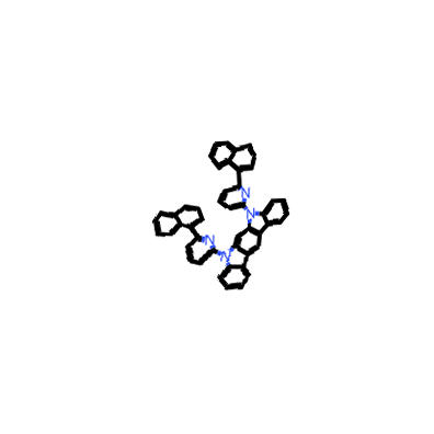 c1cc(-c2cccc3ccccc23)nc(-n2c3ccccc3c3cc4c5ccccc5n(-c5cccc(-c6cccc7ccccc67)n5)c4cc32)c1